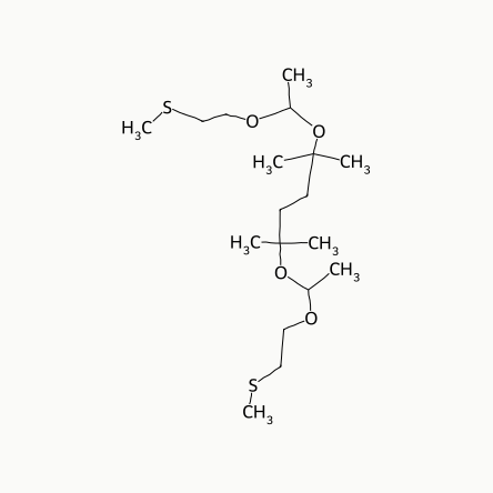 CSCCOC(C)OC(C)(C)CCC(C)(C)OC(C)OCCSC